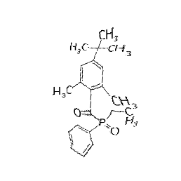 CCP(=O)(C(=O)c1c(C)cc(C(C)(C)C)cc1C)c1ccccc1